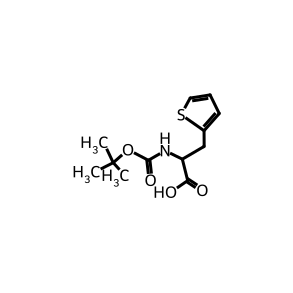 CC(C)(C)OC(=O)NC(Cc1cccs1)C(=O)O